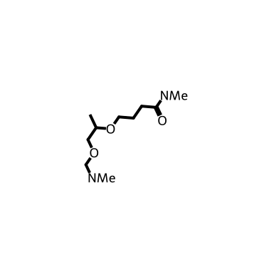 CNCOCC(C)OCCCC(=O)NC